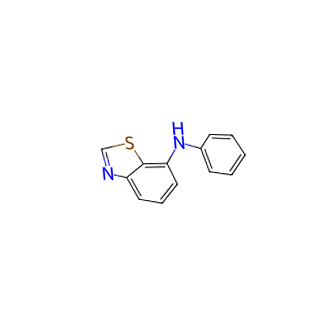 c1ccc(Nc2cccc3ncsc23)cc1